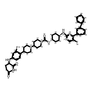 O=C1CCC(Nc2ccc(C3CCN(C4CCN(C(=O)O[C@H]5CC[C@H](Nc6ncc(F)c(-c7cccc(-c8ccccc8)c7)n6)CC5)CC4)CC3)c(F)c2)C(=O)N1